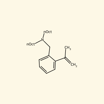 C=C(C)c1ccccc1CN(CCCCCCCC)CCCCCCCC